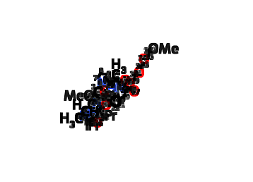 CC[C@H](C)[C@@H]([C@@H](CC(=O)N1CCC[C@H]1[C@H](OC)[C@@H](C)C(=O)NC(Cc1ccccc1)C(=O)OCCOCCOCCOC)OC)N(C)C(=O)[C@@H](NC(=O)[C@H](C(C)C)N(C)C)C(C)C